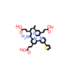 C=C(/C=C(\C=C(/N)c1cc(/C=C/C(=O)O)cc(-c2cc(-c3cccs3)ccn2)n1)/C=C/C(=O)O)c1cc(/C=C/C(=O)O)ccn1